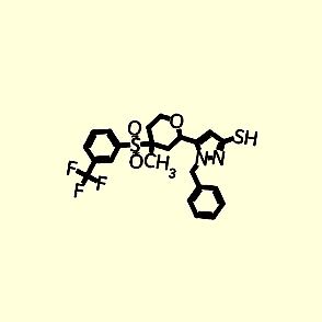 CC1(S(=O)(=O)c2cccc(C(F)(F)F)c2)CCOC(c2cc(S)nn2Cc2ccccc2)C1